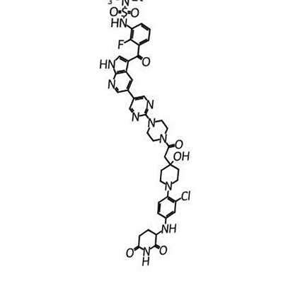 CCN(C)S(=O)(=O)Nc1cccc(C(=O)c2c[nH]c3ncc(-c4cnc(N5CCN(C(=O)CC6(O)CCN(c7ccc(NC8CCC(=O)NC8=O)cc7Cl)CC6)CC5)nc4)cc23)c1F